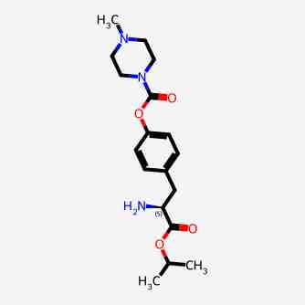 CC(C)OC(=O)[C@@H](N)Cc1ccc(OC(=O)N2CCN(C)CC2)cc1